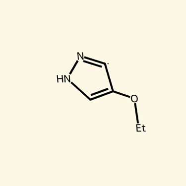 CCOc1[c]n[nH]c1